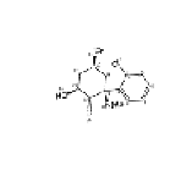 CN[C@]1(c2ccccc2Cl)C[C@H](C(C)C)C[C@H](O)C1=O